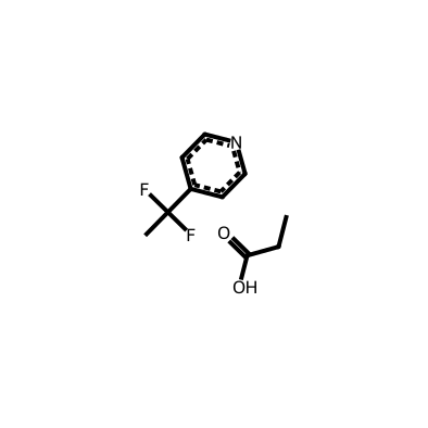 CC(F)(F)c1ccncc1.CCC(=O)O